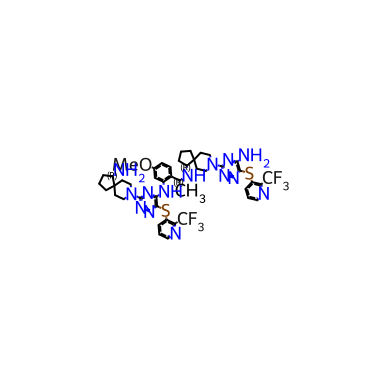 COc1ccc([C@@H](C)N[C@@H]2CCCC23CCN(c2nnc(Sc4cccnc4C(F)(F)F)c(N)n2)CC3)c(Nc2nc(N3CCC4(CCC[C@H]4N)CC3)nnc2Sc2cccnc2C(F)(F)F)c1